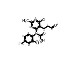 Cc1nc(Cl)c(CCC=O)c(N(C(=O)O)c2ccc(Cl)cc2Cl)n1